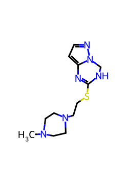 CN1CCN(CCSC2=Nc3ccnn3CN2)CC1